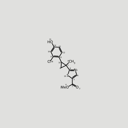 COC(=O)c1cnc(C2(C)CC2c2ccc(O)cc2Cl)s1